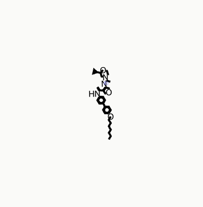 C=C(Nc1ccc(-c2ccc(OCCCCCCC)cc2)cc1)C1=C(/N=C(\C)N2CCOC(C3CC3)C2)COC1